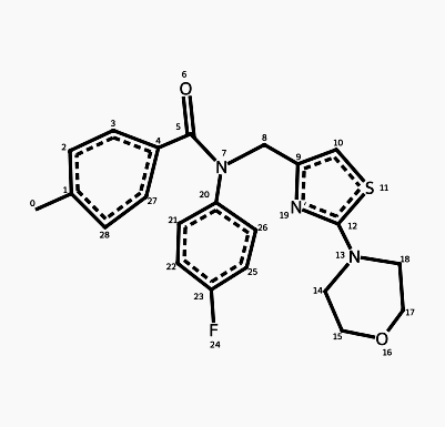 Cc1ccc(C(=O)N(Cc2csc(N3CCOCC3)n2)c2ccc(F)cc2)cc1